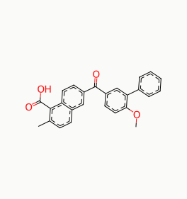 COc1ccc(C(=O)c2ccc3c(C(=O)O)c(C)ccc3c2)cc1-c1ccccc1